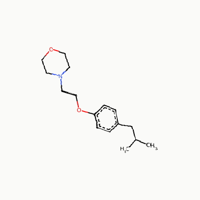 CC(C)Cc1ccc(OCCN2CCOCC2)cc1